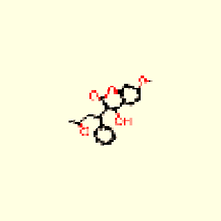 COc1ccc2c(O)c(C(CC(C)=O)c3ccccc3)c(=O)oc2c1